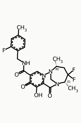 Cc1ccc(CNC(=O)c2cn3c(c(O)c2=O)C(=O)N2CN3[C@H](C)CC(F)(F)[C@@H]2C)c(F)c1